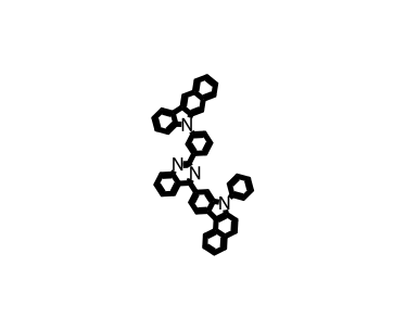 c1ccc(-n2c3cc(-c4nc(-c5cccc(-n6c7ccccc7c7cc8ccccc8cc76)c5)nc5ccccc45)ccc3c3c4ccccc4ccc32)cc1